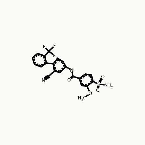 COc1cc(C(=O)Nc2ccc(-c3ccccc3C(F)(F)F)c(C#N)c2)ccc1S(N)(=O)=O